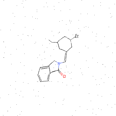 CCC1C/C(=C/N2Cc3ccccc3C2=O)CC(C)C1